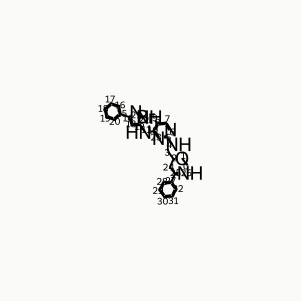 COC(CNc1ncc(Br)c(Nc2cc(-c3ccccc3)n[nH]2)n1)CC(=N)c1ccccc1